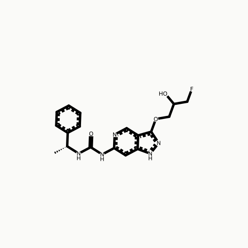 C[C@@H](NC(=O)Nc1cc2[nH]nc(OCC(O)CF)c2cn1)c1ccccc1